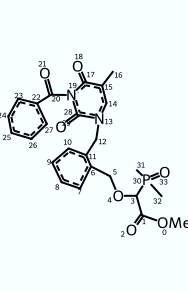 COC(=O)C(OCc1ccccc1Cn1cc(C)c(=O)n(C(=O)c2ccccc2)c1=O)P(C)(C)=O